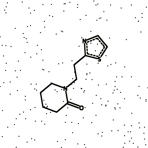 O=C1CCCCN1CCc1nccs1